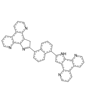 c1cc(-c2cc3c4ncccc4c4cccnc4c3[nH]2)c2cccc(C3=Nc4c(c5ncccc5c5cccnc45)C3)c2c1